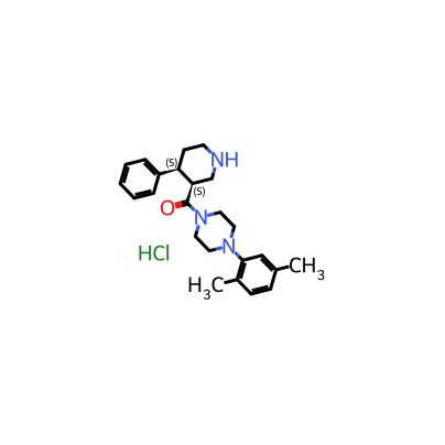 Cc1ccc(C)c(N2CCN(C(=O)[C@@H]3CNCC[C@@H]3c3ccccc3)CC2)c1.Cl